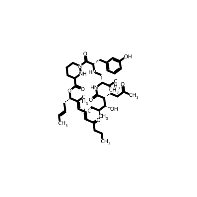 C/C=C/C[C@H](OC(=O)C1CCCN(C(=O)[C@H](Cc2cccc(O)c2)NC[C@@H](NC(=O)[C@H](CCC(C)=O)[C@H](O)[C@@H](C)CC)C(C)C)N1)/C(C)=C/C=C/C(=O)CCC